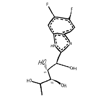 CC(O)[C@H](O)[C@H](O)C(O)c1nc2cc(F)c(F)cc2[nH]1